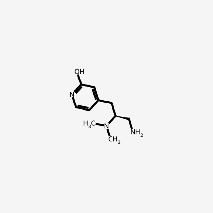 CN(C)[C@H](CN)Cc1ccnc(O)c1